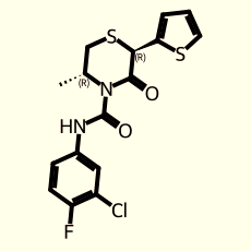 C[C@@H]1CS[C@@H](c2cccs2)C(=O)N1C(=O)Nc1ccc(F)c(Cl)c1